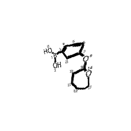 OB(O)c1cccc(OC2CCCCO2)c1